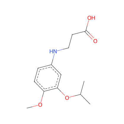 COc1ccc(NCCC(=O)O)cc1OC(C)C